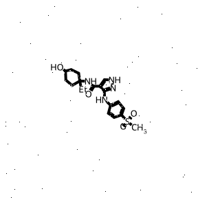 CCC1(NC(=O)c2c[nH]nc2Nc2ccc(S(C)(=O)=O)cc2)CCC(O)CC1